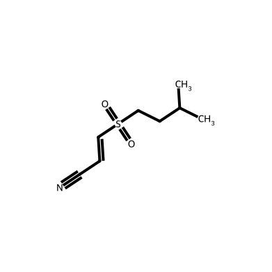 CC(C)CCS(=O)(=O)C=CC#N